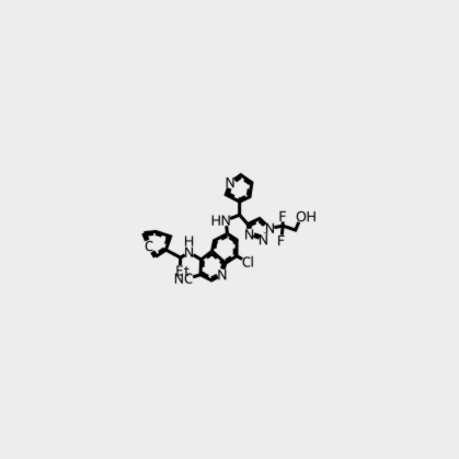 CCC(Nc1c(C#N)cnc2c(Cl)cc(NC(c3cccnc3)c3cn(C(F)(F)CO)nn3)cc12)c1ccccc1